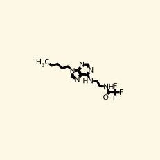 CCCCCn1cnc2c(NCCNC(=O)C(F)(F)F)ncnc21